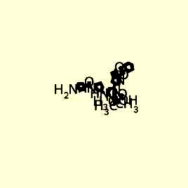 CC(C)(C)N(C(=O)O)c1nc(Nc2cccc(NC(=O)c3ccc(N)cc3)c2)cc(-c2cnc3c(ccn3S(=O)(=O)c3ccccc3)c2)n1